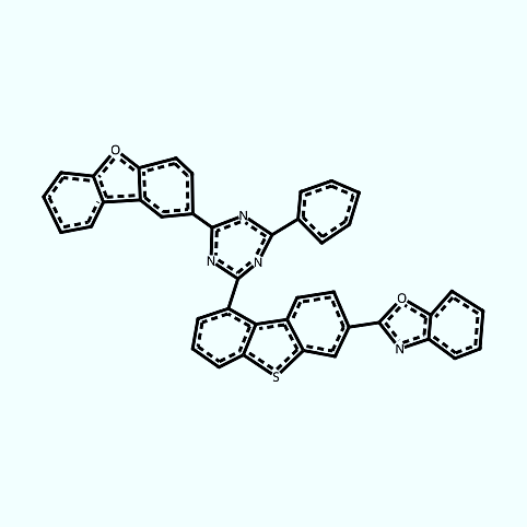 c1ccc(-c2nc(-c3ccc4oc5ccccc5c4c3)nc(-c3cccc4sc5cc(-c6nc7ccccc7o6)ccc5c34)n2)cc1